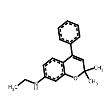 CCNc1ccc2c(c1)OC(C)(C)C=C2c1ccccc1